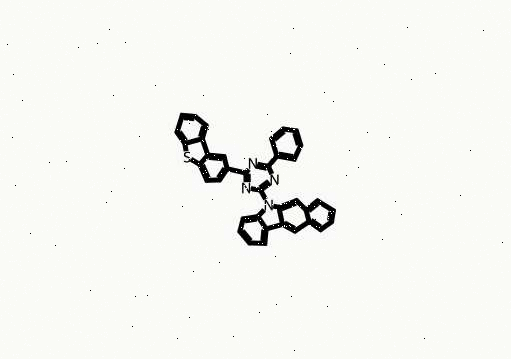 c1ccc(-c2nc(-c3ccc4sc5ccccc5c4c3)nc(-n3c4ccccc4c4cc5ccccc5cc43)n2)cc1